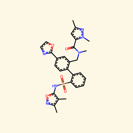 Cc1cc(C(=O)N(C)Cc2cc(-c3ncco3)ccc2-c2ccccc2S(=O)(=O)Nc2onc(C)c2C)n(C)n1